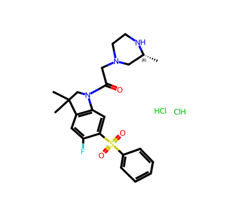 C[C@@H]1CN(CC(=O)N2CC(C)(C)c3cc(F)c(S(=O)(=O)c4ccccc4)cc32)CCN1.Cl.Cl